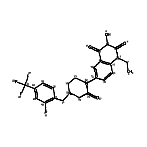 CCN1C(=O)C(O)C(=O)c2cc(N3CCN(Cc4ccc(C(F)(F)F)cc4F)CC3=O)ccc21